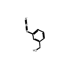 [N-]=[N+]=Nc1cccc(CO)c1